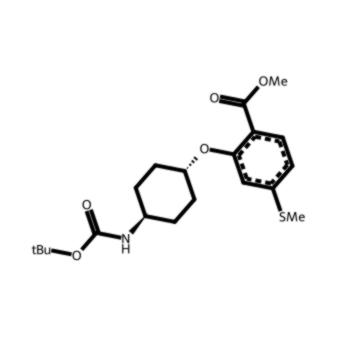 COC(=O)c1ccc(SC)cc1O[C@H]1CC[C@H](NC(=O)OC(C)(C)C)CC1